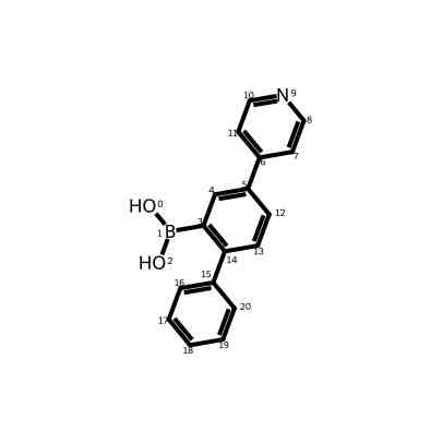 OB(O)c1cc(-c2ccncc2)ccc1-c1ccccc1